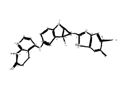 Cc1cc2[nH]c([C@@H]3C4Oc5ccc(Oc6ccnc7c6CCC(=O)N7)cc5[C@H]43)nc2cc1F